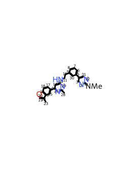 CNc1ncc(-c2cccc(CCNc3cc(-c4ccc5occ(C)c5c4)nc(C)n3)c2)cn1